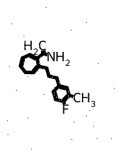 C=C(N)C1=CC=CCC=C1CCCc1ccc(F)c(C)c1